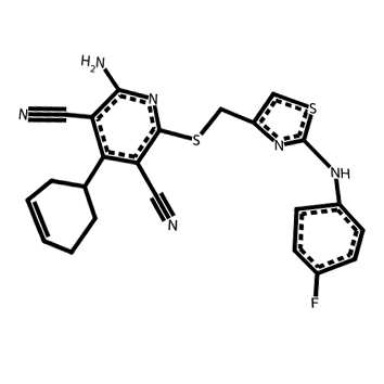 N#Cc1c(N)nc(SCc2csc(Nc3ccc(F)cc3)n2)c(C#N)c1C1CC=CCC1